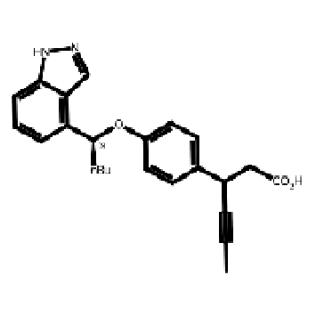 CC#CC(CC(=O)O)c1ccc(O[C@@H](CCCC)c2cccc3[nH]ncc23)cc1